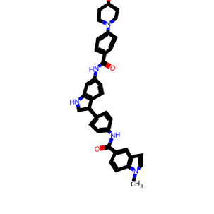 Cn1ccc2cc(C(=O)Nc3ccc(C4CNc5cc(NC(=O)c6ccc(N7CCC(O)CC7)cc6)ccc54)cc3)ccc21